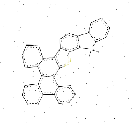 C[Si]1(C)c2ccccc2-c2ccc3c(sc4c3c3ccccc3c3c5ccccc5c5ccccc5c43)c21